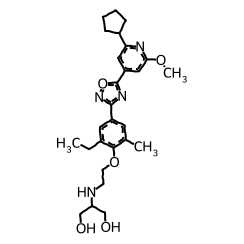 CCc1cc(-c2noc(-c3cc(OC)nc(C4CCCC4)c3)n2)cc(C)c1OCCNC(CO)CO